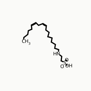 CCCCC/C=C\C/C=C\CCCCCCCCNCCS(=O)(=O)O